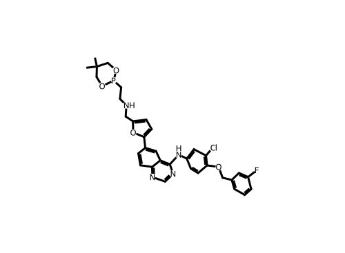 CC1(C)COP(CCNCc2ccc(-c3ccc4ncnc(Nc5ccc(OCc6cccc(F)c6)c(Cl)c5)c4c3)o2)OC1